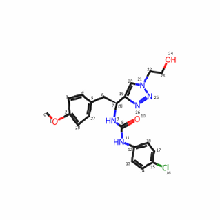 COc1ccc(C[C@H](NC(=O)Nc2ccc(Cl)cc2)c2cn(CCO)nn2)cc1